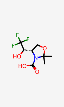 CC1(C)OC[C@@H](C(O)C(F)(F)F)N1C(=O)O